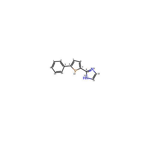 c1ccc(-c2ccc(-c3ncc[nH]3)s2)cc1